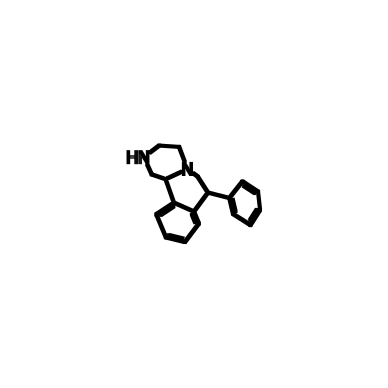 c1ccc(C2CN3CCNCC3c3ccccc32)cc1